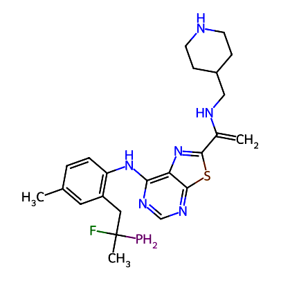 C=C(NCC1CCNCC1)c1nc2c(Nc3ccc(C)cc3CC(C)(F)P)ncnc2s1